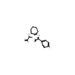 [2H]C(C(=O)Cl)N1C(=O)C(c2ccc(Cl)cc2)=NC12CCCCC2